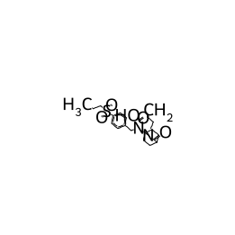 C=CCN1C(=O)C2CCC1(N(Cc1ccc(S(=O)(=O)CCC)cc1)C(=O)O)CC2